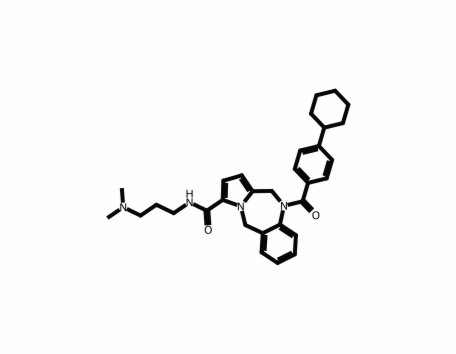 CN(C)CCCNC(=O)c1ccc2n1Cc1ccccc1N(C(=O)c1ccc(C3CCCCC3)cc1)C2